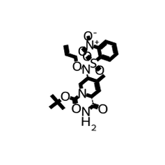 C=CCON([C@H]1CN(C(=O)OC(C)(C)C)[C@@H](C(N)=O)C=C1C)S(=O)(=O)c1ccccc1[N+](=O)[O-]